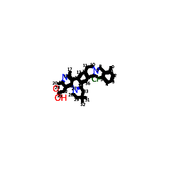 Cc1cccc(Cl)c1CN1CCc2cc(-c3c(C)nc(C)c(CC(=O)O)c3N3CCC(C)(C)CC3)ccc2C1